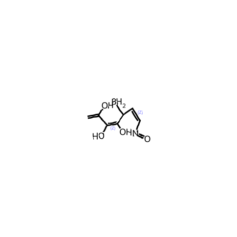 BC(/C=C\N=O)/C(O)=C(/O)C(=C)O